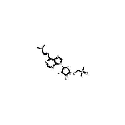 C[C@@H]1[C@@H](OCP(C)(C)=O)O[C@@H](n2cnc3c(/N=C/N(C)C)ncnc32)[C@H]1F